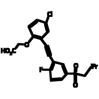 CC(C)CS(=O)(=O)c1ccc(F)c(C#Cc2cc(Cl)ccc2OCC(=O)O)c1